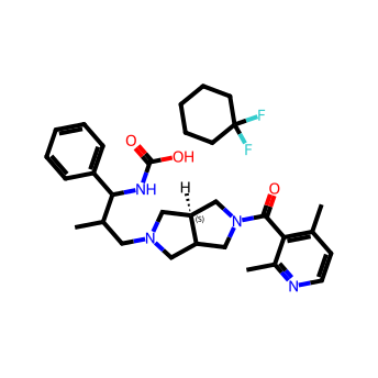 Cc1ccnc(C)c1C(=O)N1CC2CN(CC(C)C(NC(=O)O)c3ccccc3)C[C@H]2C1.FC1(F)CCCCC1